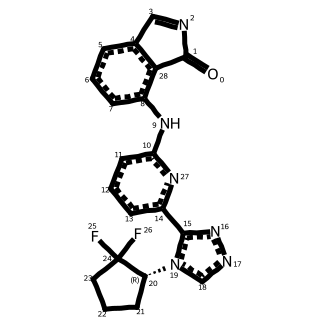 O=C1N=Cc2cccc(Nc3cccc(-c4nncn4[C@@H]4CCCC4(F)F)n3)c21